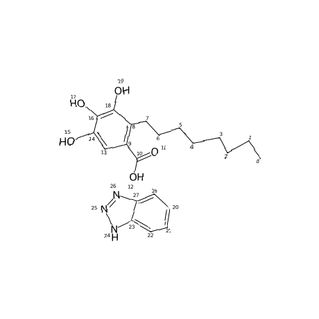 CCCCCCCCc1c(C(=O)O)cc(O)c(O)c1O.c1ccc2[nH]nnc2c1